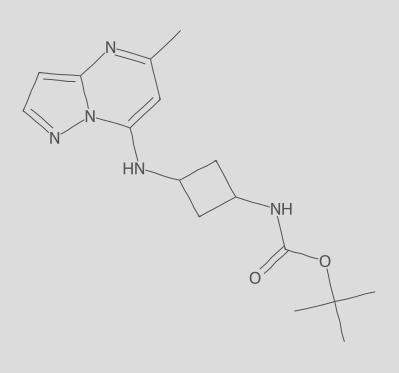 Cc1cc(NC2CC(NC(=O)OC(C)(C)C)C2)n2nccc2n1